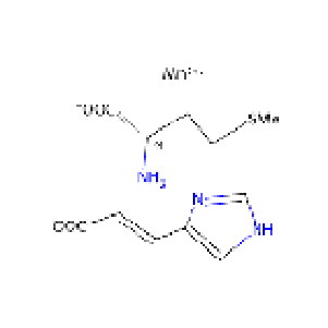 CSCC[C@H](N)C(=O)[O-].O=C([O-])C=Cc1c[nH]cn1.[Mn+2]